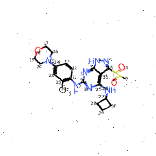 CS(=O)(=O)c1n[nH]c2nc(Nc3ccc(N4CCOCC4)cc3C(F)(F)F)nc(NC3CCC3)c12